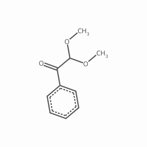 CO[C](OC)C(=O)c1ccccc1